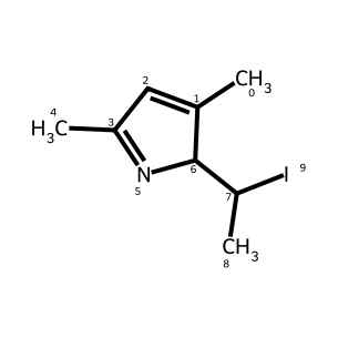 CC1=CC(C)=NC1C(C)I